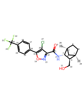 O=C(N[C@@H]1[C@H]2CC[C@H](C2)[C@H]1CO)c1noc(-c2ccc(C(F)(F)F)cc2)c1Cl